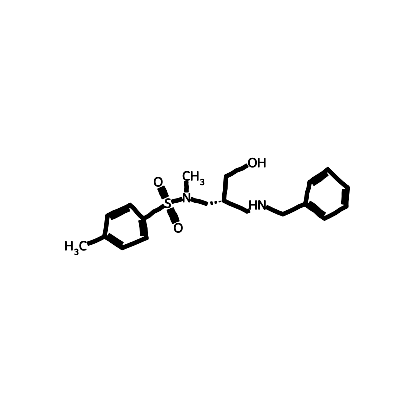 Cc1ccc(S(=O)(=O)N(C)C[C@H](CO)CNCc2ccccc2)cc1